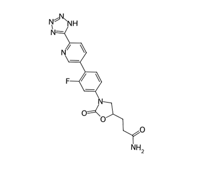 NC(=O)CCC1CN(c2ccc(-c3ccc(-c4nnn[nH]4)nc3)c(F)c2)C(=O)O1